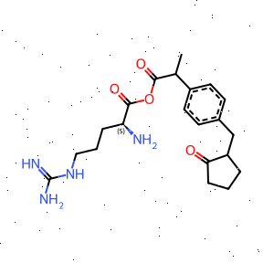 CC(C(=O)OC(=O)[C@@H](N)CCCNC(=N)N)c1ccc(CC2CCCC2=O)cc1